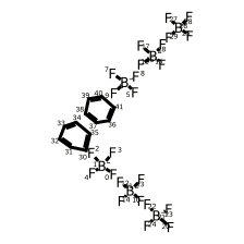 F[B-](F)(F)F.F[B-](F)(F)F.F[B-](F)(F)F.F[B-](F)(F)F.F[B-](F)(F)F.F[B-](F)(F)F.c1ccccc1.c1ccccc1